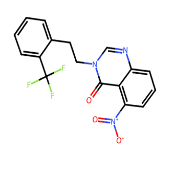 O=c1c2c([N+](=O)[O-])cccc2ncn1CCc1ccccc1C(F)(F)F